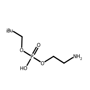 CCC(C)COP(=O)(O)OCCN